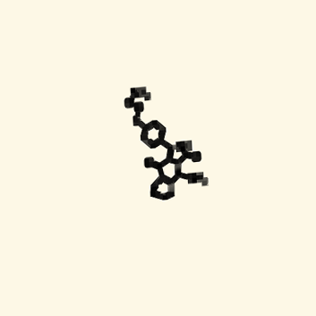 NOOSc1ccc(C2=C3C(=O)c4ccccc4C(N)=C3C(=O)N2)cc1